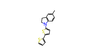 Cc1ccc2c(c1)CCN2c1ccc(-c2cccs2)s1